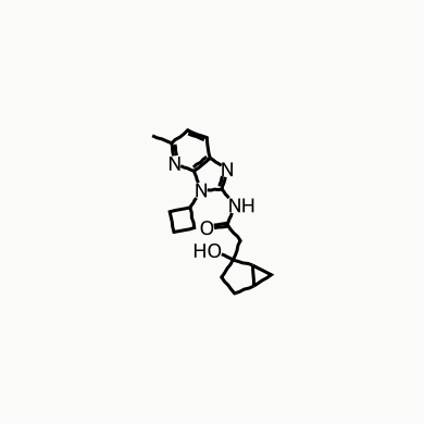 Cc1ccc2nc(NC(=O)CC3(O)CCC4CC43)n(C3CCC3)c2n1